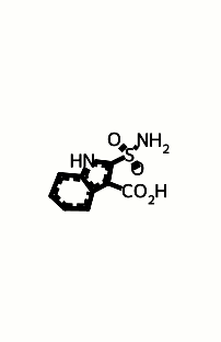 NS(=O)(=O)c1[nH]c2ccccc2c1C(=O)O